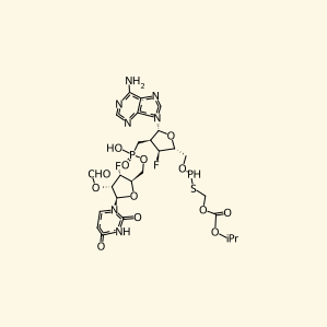 CC(C)OC(=O)OCSPOC[C@H]1O[C@@H](n2cnc3c(N)ncnc32)[C@H](CP(=O)(O)OC[C@H]2O[C@@H](n3ccc(=O)[nH]c3=O)[C@H](OC=O)[C@@H]2F)[C@@H]1F